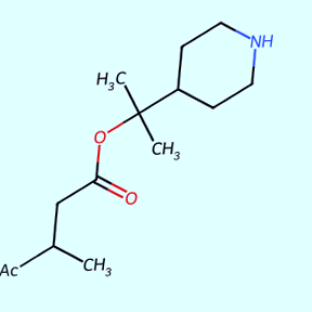 CC(=O)C(C)CC(=O)OC(C)(C)C1CCNCC1